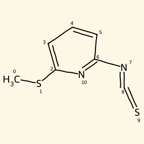 CSc1cccc(N=C=S)n1